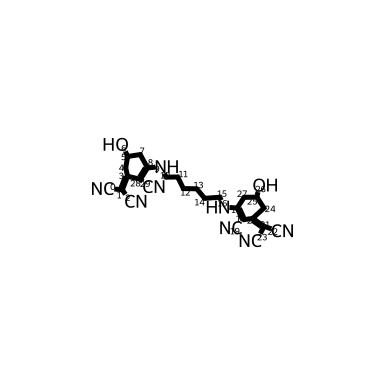 N#CC(C#N)=C1CC(O)CC(NCCCCCCNC2=C(C#N)C(=C(C#N)C#N)CC(O)C2)=C1C#N